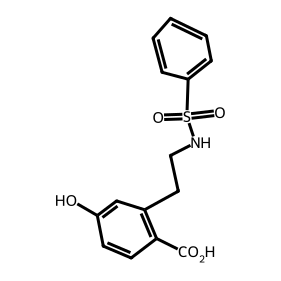 O=C(O)c1ccc(O)cc1CCNS(=O)(=O)c1ccccc1